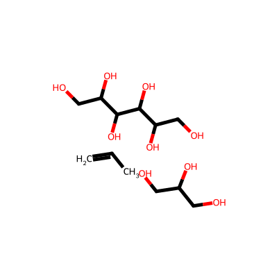 C=CC.OCC(O)C(O)C(O)C(O)CO.OCC(O)CO